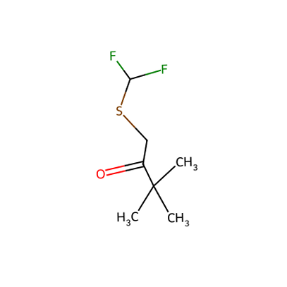 CC(C)(C)C(=O)CSC(F)F